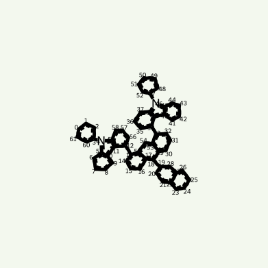 c1ccc(-n2c3ccccc3c3c(-c4cccc5c(-c6ccc7ccccc7c6)c6cccc(-c7cccc8c7c7ccccc7n8-c7ccccc7)c6cc45)cccc32)cc1